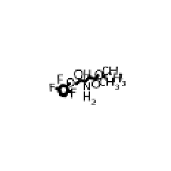 CC(C)(C)OC(=O)C[C@H](N)C(O)COc1c(F)ccc(F)c1F